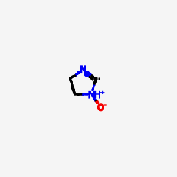 [O-][NH+]1[C]=NCC1